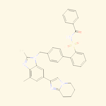 CCc1nc2c(C)cc(-c3cn4c(n3)CCCC4)cc2n1Cc1ccc(-c2ccccc2S(=O)(=O)NC(=O)c2ccccc2)cc1